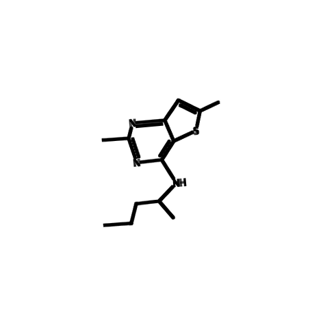 CCCC(C)Nc1nc(C)nc2cc(C)sc12